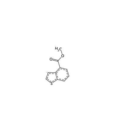 COC(=O)c1cccc2sc[c]c12